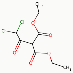 CCOC(=O)C(C(=O)OCC)C(=O)C(Cl)Cl